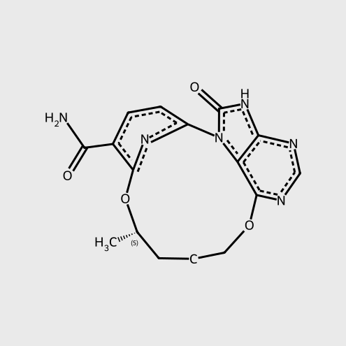 C[C@H]1CCCOc2ncnc3[nH]c(=O)n(c23)-c2ccc(C(N)=O)c(n2)O1